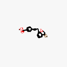 COC(=O)c1ccc(C#CCc2cccc3c2OCCC3(SC)SC)cc1